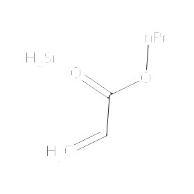 [CH2]CCOC(=O)C=C.[SiH4]